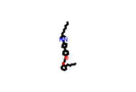 CCCCCCCc1cnc(-c2ccc(-c3ccc(OCCCC4CCCCC4CCCCC)cc3)cc2)nc1